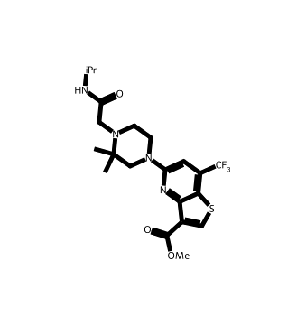 COC(=O)c1csc2c(C(F)(F)F)cc(N3CCN(CC(=O)NC(C)C)C(C)(C)C3)nc12